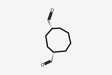 O=C[C@@H]1CCCC[C@H](C=O)CC1